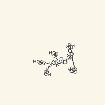 C=C1CCC(=O)N1OC(=O)CCCCCN1/C(=C/C=C2\CCCC(/C=C/C3=[N+](CCCS(=O)(=O)O)c4ccc(N(CCCSOOO)CCCSOOO)cc4C3(C)C)=C2Cl)C(C)(C)c2c1ccc1cc(S(=O)(=O)O)ccc21